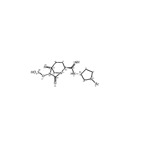 CC(=O)N1CC[C@@H](NC(=N)[C@@H]2CC[C@@H]3CN2C(=O)N3OS(=O)(=O)O)C1